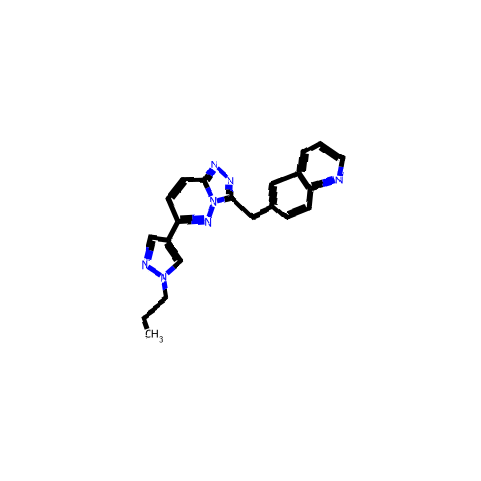 CCCn1cc(-c2ccc3nnc(Cc4ccc5ncccc5c4)n3n2)cn1